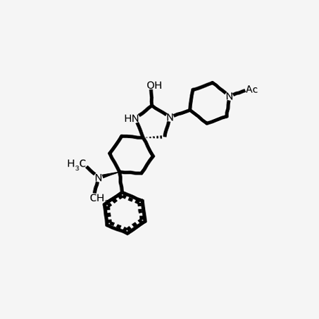 CC(=O)N1CCC(N2C[C@]3(CC[C@](c4ccccc4)(N(C)C)CC3)NC2O)CC1